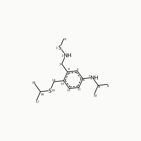 CSNCc1cc(NC(C)C)ccc1CSC(C)C